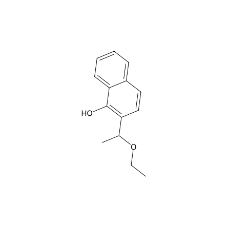 CCOC(C)c1ccc2ccccc2c1O